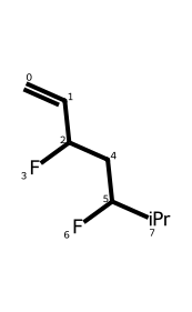 C=CC(F)CC(F)C(C)C